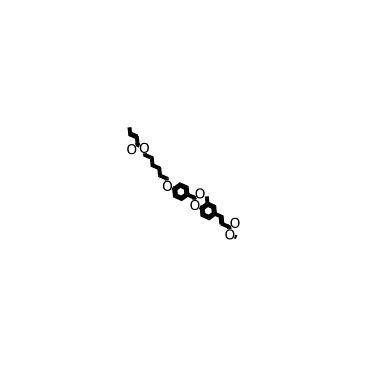 CC=CC(=O)OCCCCCCOc1ccc(C(=O)Oc2ccc(C=CC(=O)OC)cc2C)cc1